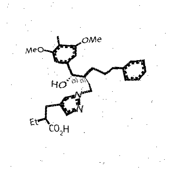 CCC(Cc1cnn(C[C@H](CCCc2ccccc2)[C@H](O)c2cc(OC)c(C)c(OC)c2)c1)C(=O)O